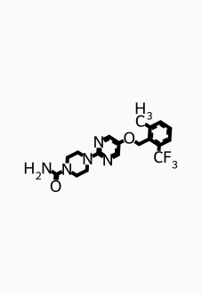 Cc1cccc(C(F)(F)F)c1COc1cnc(N2CCN(C(N)=O)CC2)nc1